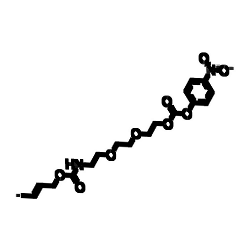 [CH2]/C=C/COC(=O)NCCOCCOCCOC(=O)Oc1ccc([N+](=O)[O-])cc1